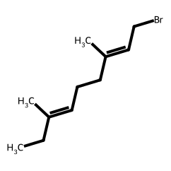 CC/C(C)=C/CC/C(C)=C/CBr